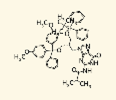 COc1ccc(C(OC[C@H](CO[Si](c2ccccc2)(c2ccccc2)C(C)(C)C)Cn2cnc3c(=O)[nH]c(NC(=O)C(C)C)nc32)(c2ccccc2)c2ccc(OC)cc2)cc1